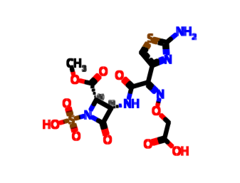 COC(=O)[C@@H]1[C@H](NC(=O)C(=NOCC(=O)O)c2csc(N)n2)C(=O)N1S(=O)(=O)O